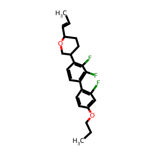 C/C=C/C1CCC(c2ccc(-c3ccc(OCCC)cc3F)c(F)c2F)CO1